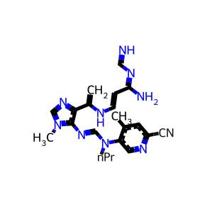 C=C(N/C=C/C(N)=N\C=N)c1ncn(C)c1/N=C/N(CCC)c1cnc(C#N)cc1C